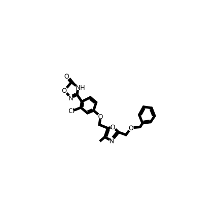 Cc1nc(COCc2ccccc2)oc1COc1ccc(-c2noc(=O)[nH]2)c(Cl)c1